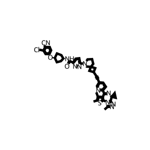 Cc1sc2c(c1C)C(c1ccc(C#CC3CC4(CCCN(c5ccc(C(=O)N[C@H]6CC[C@H](Oc7ccc(C#N)c(Cl)c7)CC6)nn5)C4)C3)cn1)=NC1(CC1)c1nnc(C)n1-2